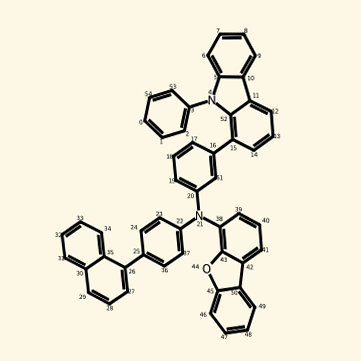 c1ccc(-n2c3ccccc3c3cccc(-c4cccc(N(c5ccc(-c6cccc7ccccc67)cc5)c5cccc6c5oc5ccccc56)c4)c32)cc1